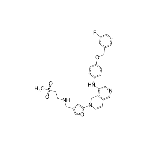 CS(=O)(=O)CCNCc1coc(N2C=Cc3cncc(Nc4ccc(OCc5cccc(F)c5)cc4)c3C2)c1